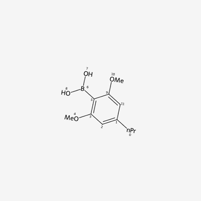 CCCc1cc(OC)c(B(O)O)c(OC)c1